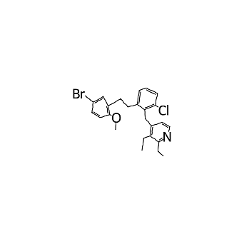 CCc1nccc(Cc2c(Cl)cccc2CCc2cc(Br)ccc2OC)c1CC